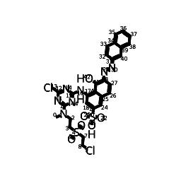 CN(CCS(=O)(=O)CCCl)c1nc(Cl)nc(Nc2cc(S(=O)(=O)O)cc3ccc(N=Nc4ccc5ccccc5c4)c(O)c23)n1